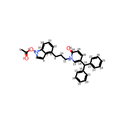 CC(=O)On1ccc2c(CCCn3cc(C(c4ccccc4)c4ccccc4)ccc3=O)cccc21